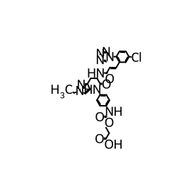 CCn1ccc(CC(NC(=O)C=Cc2cc(Cl)ccc2-n2cnnn2)C(=O)Nc2ccc(NC(=O)OCCC(=O)O)cc2)n1